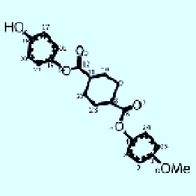 COc1ccc(OC(=O)C2CCC(C(=O)Oc3ccc(O)cc3)CC2)cc1